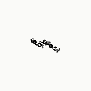 CS(=O)(=O)N1CCN(c2ccc(-c3nc4c(NC5CCN(Cc6ccc7c(c6)CCO7)CC5)c(Cl)cnc4[nH]3)cc2)CC1